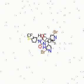 CC(c1ccnc(Br)c1)C1(C(C)c2ccnc(Br)c2)NC(=O)N(c2ccc(SC(F)(F)F)cc2)C1=O